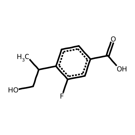 CC(CO)c1ccc(C(=O)O)cc1F